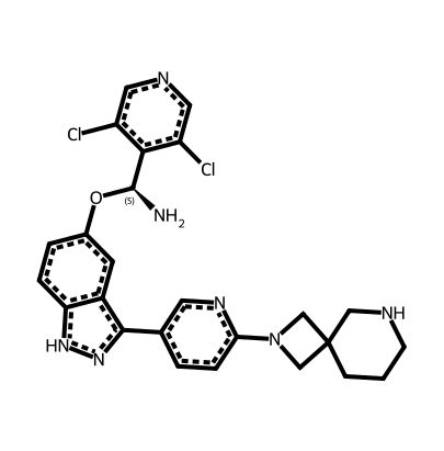 N[C@@H](Oc1ccc2[nH]nc(-c3ccc(N4CC5(CCCNC5)C4)nc3)c2c1)c1c(Cl)cncc1Cl